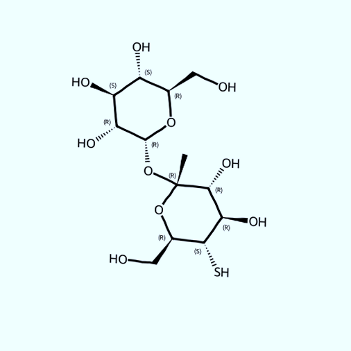 C[C@]1(O[C@H]2O[C@H](CO)[C@@H](O)[C@H](O)[C@H]2O)O[C@H](CO)[C@@H](S)[C@H](O)[C@H]1O